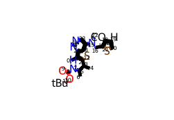 Cc1c(C(C)C(C)NC(=O)OC(C)(C)C)sc2c(N(Cc3cccs3)C(=O)O)cnnc12